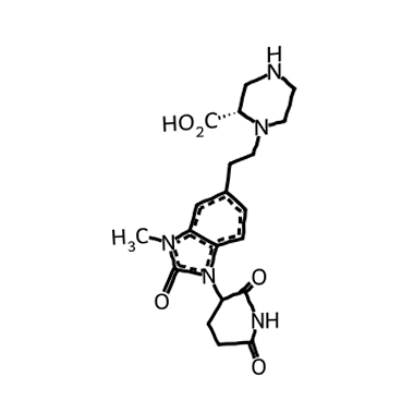 Cn1c(=O)n(C2CCC(=O)NC2=O)c2ccc(CCN3CCNC[C@H]3C(=O)O)cc21